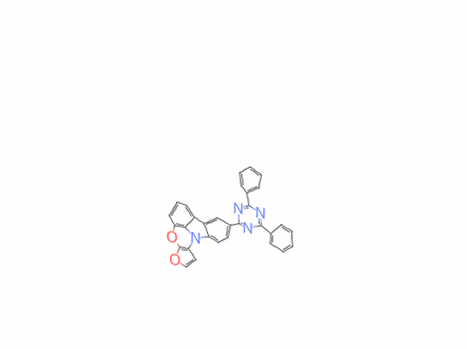 c1ccc(-c2nc(-c3ccccc3)nc(-c3ccc4c(c3)c3cccc5c3n4-c3ccoc3O5)n2)cc1